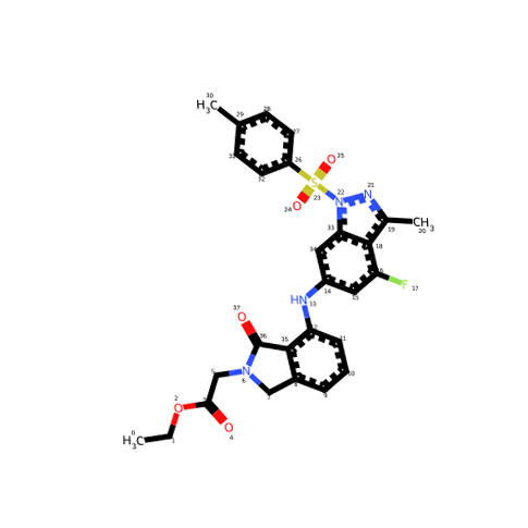 CCOC(=O)CN1Cc2cccc(Nc3cc(F)c4c(C)nn(S(=O)(=O)c5ccc(C)cc5)c4c3)c2C1=O